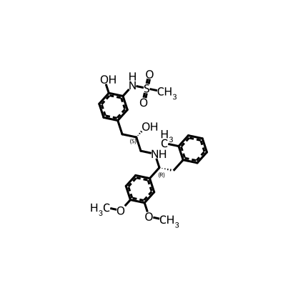 COc1ccc([C@@H](Cc2ccccc2C)NC[C@@H](O)Cc2ccc(O)c(NS(C)(=O)=O)c2)cc1OC